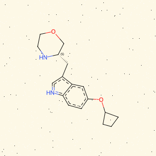 c1cc2[nH]cc(C[C@H]3COCCN3)c2cc1OC1CCC1